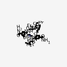 CCc1nc(C)sc1C(=O)Nc1nc2cc(C(N)=O)cc(OCCCN3CCN(C(=O)C(C)C)CC3)c2n1C/C=C/Cn1c(NC(=O)c2cc(C)nn2CC)nc2cc(C(N)=O)cc(OC)c21